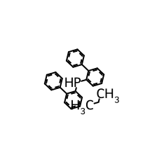 CCC.c1ccc(-c2ccccc2Pc2ccccc2-c2ccccc2)cc1